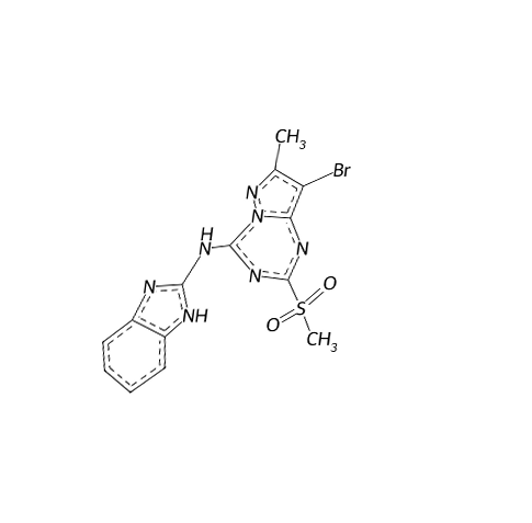 Cc1nn2c(Nc3nc4ccccc4[nH]3)nc(S(C)(=O)=O)nc2c1Br